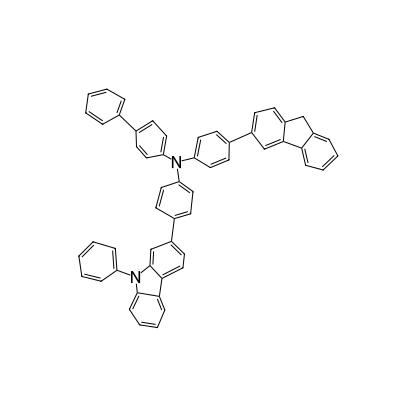 c1ccc(-c2ccc(N(c3ccc(-c4ccc5c(c4)-c4ccccc4C5)cc3)c3ccc(-c4ccc5c6ccccc6n(-c6ccccc6)c5c4)cc3)cc2)cc1